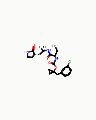 CC(C)CC(NC(=O)OC1(Cc2cccc(Cl)c2)CC1)C(=O)NC(C[C@@H]1CCNC1=O)C(=O)O